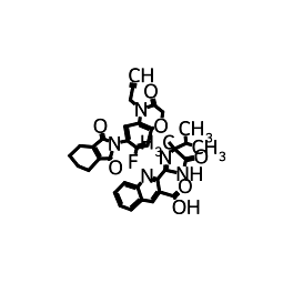 C#CCN1C(=O)COc2cc(F)c(N3C(=O)C4=C(CCCC4)C3=O)cc21.CC(C)C1(C)N=C(c2nc3ccccc3cc2C(=O)O)NC1=O